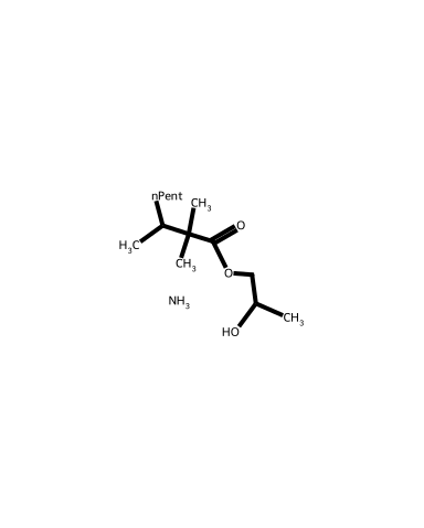 CCCCCC(C)C(C)(C)C(=O)OCC(C)O.N